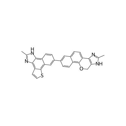 Cc1nc2c([nH]1)COc1c-2ccc2cc(-c3ccc4c(c3)c3sccc3c3nc(C)[nH]c43)ccc12